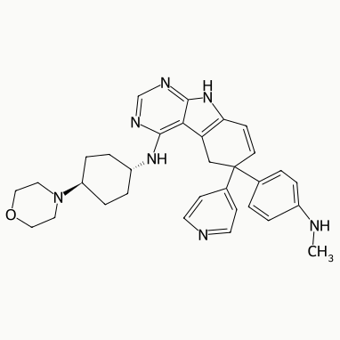 CNc1ccc(C2(c3ccncc3)C=Cc3[nH]c4ncnc(N[C@H]5CC[C@H](N6CCOCC6)CC5)c4c3C2)cc1